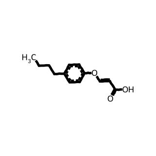 CCCCc1ccc(OC=CC(=O)O)cc1